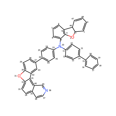 C1=CC2Oc3c(cccc3N(c3ccc(-c4ccccc4)cc3)c3ccc(-c4ccc5oc6ccc7ccncc7c6c5c4)cc3)C2C=C1